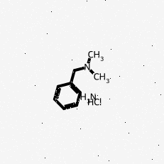 CN(C)Cc1ccccc1.Cl.N